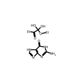 CCOC(O)(O)C(=O)CC.Nc1nc2nc[nH]c2c(=O)[nH]1